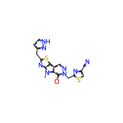 Cn1c2nc(Cc3cc[nH]n3)sc2c2cnn(Cc3nc(C#N)cs3)c(=O)c21